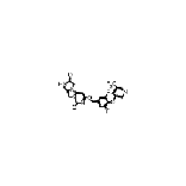 O=C1CN2c3cc(OCc4cc(F)c(Oc5cncc(C(F)(F)F)c5)c(F)c4)nc(=O)n3CC2CN1